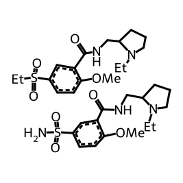 CCN1CCCC1CNC(=O)c1cc(S(=O)(=O)CC)ccc1OC.CCN1CCCC1CNC(=O)c1cc(S(N)(=O)=O)ccc1OC